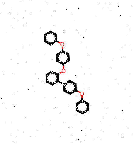 c1ccc(Oc2ccc(Oc3ccccc3-c3ccc(Oc4ccccc4)cc3)cc2)cc1